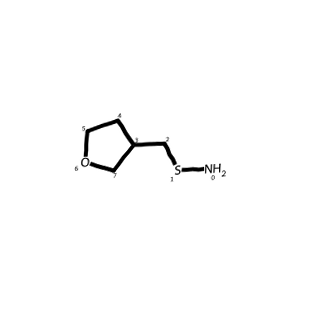 NSCC1CCOC1